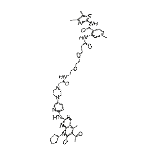 CC(=O)c1c(C)c2cnc(Nc3ccc(N4CCN(CC(=O)NCCOCCOCCC(=O)Nc5cc(C)ccc5C(=O)Nc5nc(C)c(C)s5)CC4)cn3)nc2n(C2CCCC2)c1=O